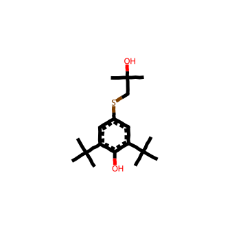 CC(C)(O)CSc1cc(C(C)(C)C)c(O)c(C(C)(C)C)c1